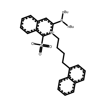 CCCCN(CCCC)c1cc2ccccc2c(S(=O)(=O)[O-])[n+]1CCCCc1cccc2ccccc12